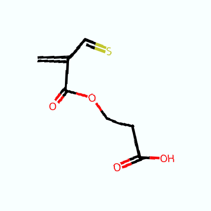 C=C(C=S)C(=O)OCCC(=O)O